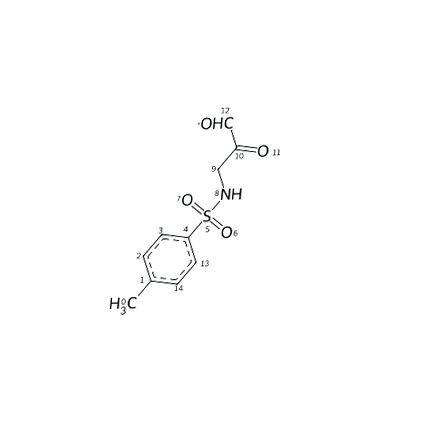 Cc1ccc(S(=O)(=O)NCC(=O)[C]=O)cc1